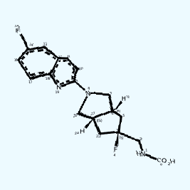 O=C(O)NC[C@@]1(F)C[C@H]2CN(c3ccc4cc(F)ccc4n3)C[C@H]2C1